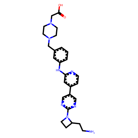 NCCC1CCN1c1ncc(-c2ccnc(Nc3cccc(CN4CCN(CC(=O)O)CC4)c3)c2)cn1